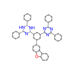 c1ccc(C2=NC(c3cc(-c4ccc5oc6ccccc6c5c4)cc(-c4nc(-c5ccccc5)nc(-c5ccccc5)n4)c3)NC(c3ccccc3)N2)cc1